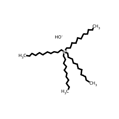 CCCCCCCCCCC[N+](CCCCCCCCCCC)(CCCCCCCCCCC)CCCCCCCCCCC.[OH-]